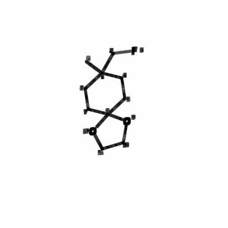 CC1(CF)CCC2(CC1)OCCO2